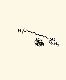 CCCCCCCCCCCCCCC(=O)ON.O=S(=O)(O)O.[NaH]